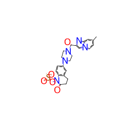 Cc1ccn2cc(C(=O)N3CCN(c4ccc5c(c4)CCC(=O)N5OS(C)(=O)=O)CC3)nc2c1